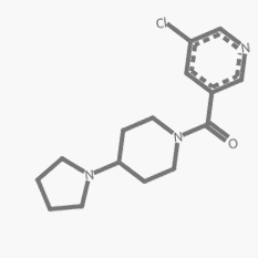 O=C(c1cncc(Cl)c1)N1CCC(N2CCCC2)CC1